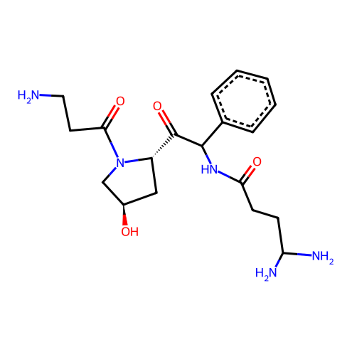 NCCC(=O)N1C[C@H](O)C[C@H]1C(=O)C(NC(=O)CCC(N)N)c1ccccc1